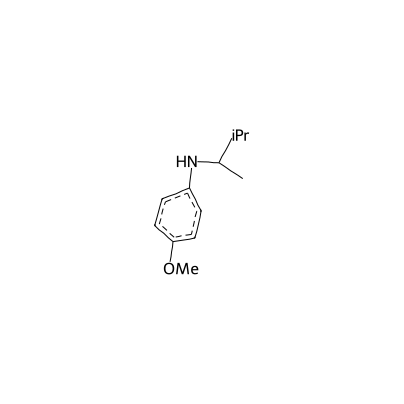 COc1ccc(NC(C)C(C)C)cc1